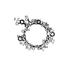 C=CCC(C(=O)O)[C@H]1C(=O)NC2(CCCC2)C(=O)N(C)[C@@H](C(C)C)C(=O)N(C)[C@H](C(=O)N2CCCCC2)CC(=O)N(C)[C@@H](C)C(=O)N[C@@H]([C@@H](C)CC)C(=O)N(C)CC(=O)N(C)CC(=O)N(C)[C@@H](CC2CCCCC2)C(=O)N(C)CC(=O)N[C@@H](CCc2ccc(C(F)(F)F)c(Cl)c2)C(=O)N1C